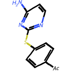 CC(=O)c1ccc(Sc2nccc(N)n2)cc1